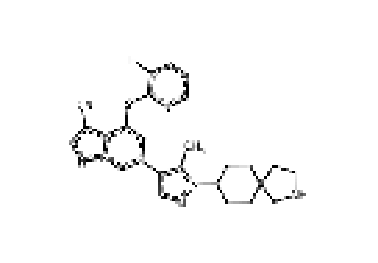 Cc1c(-c2cc(Sc3ncccc3F)c3c(C#N)cnn3c2)cnn1C1CCC2(CCNC2)CC1